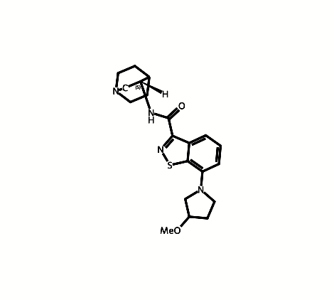 COC1CCN(c2cccc3c(C(=O)N[C@@H]4CN5CCC4CC5)nsc23)C1